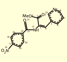 COC(=O)/C(=C\c1cccnc1)NC(=O)c1ccc([N+](=O)[O-])cc1